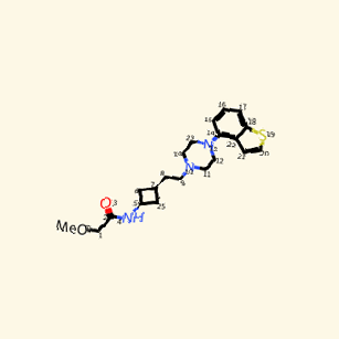 COCC(=O)N[C@H]1C[C@@H](CCN2CCN(c3cccc4sccc34)CC2)C1